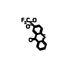 O=c1c2ccccc2sc2ccc(S(=O)(=O)C(F)(F)F)cc12